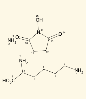 N.NCCCCC(N)C(=O)O.O=C1CCC(=O)N1O